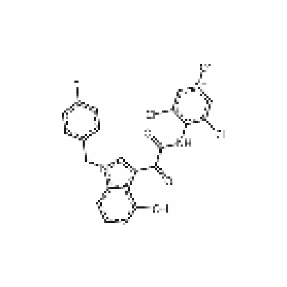 O=C(Nc1c(Cl)c[n+]([O-])cc1Cl)C(=O)c1cn(Cc2ccc(F)cc2)c2cccc(O)c12